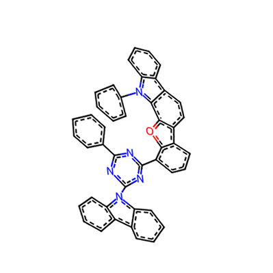 c1ccc(-c2nc(-c3cccc4c3oc3c4ccc4c5ccccc5n(-c5ccccc5)c43)nc(-n3c4ccccc4c4ccccc43)n2)cc1